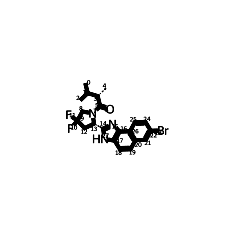 CC(C)[C@H](C)C(=O)N1CC(F)(F)C[C@H]1c1nc2c(ccc3cc(Br)ccc32)[nH]1